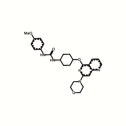 COc1ccc(NC(=O)NC2CCC(Oc3nc(N4CCOCC4)cc4ncccc34)CC2)cc1